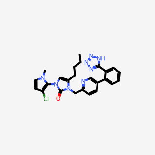 CCCCc1cn(-c2c(Cl)ccn2C)c(=O)n1Cc1ccc(-c2ccccc2-c2nnn[nH]2)cn1